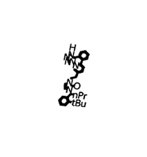 CCCC(c1ccccc1C(C)(C)C)n1ccn(CCc2ccc(-c3ccccc3-c3nnn[nH]3)nc2)c1=O